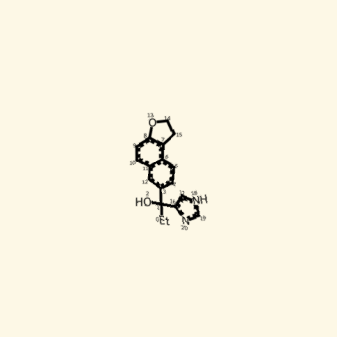 CCC(O)(c1ccc2c3c(ccc2c1)OCC3)c1c[nH]cn1